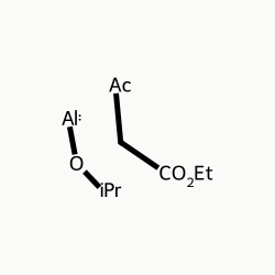 CC(C)[O][Al].CCOC(=O)CC(C)=O